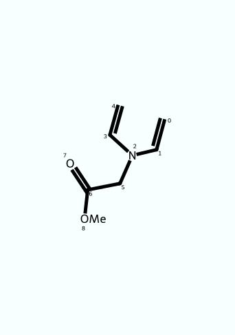 C=CN(C=C)CC(=O)OC